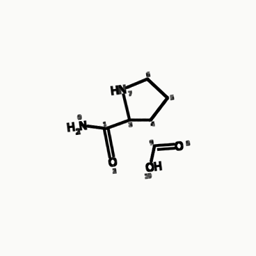 NC(=O)C1CCCN1.O=CO